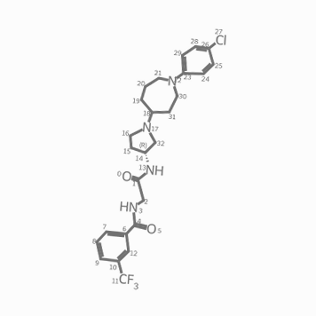 O=C(CNC(=O)c1cccc(C(F)(F)F)c1)N[C@@H]1CCN(C2CCCN(c3ccc(Cl)cc3)CC2)C1